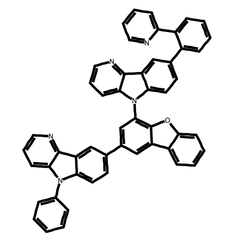 c1ccc(-n2c3ccc(-c4cc(-n5c6ccc(-c7ccccc7-c7ccccn7)cc6c6ncccc65)c5oc6ccccc6c5c4)cc3c3ncccc32)cc1